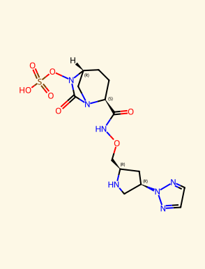 O=C(NOC[C@H]1C[C@@H](n2nccn2)CN1)[C@@H]1CC[C@@H]2CN1C(=O)N2OS(=O)(=O)O